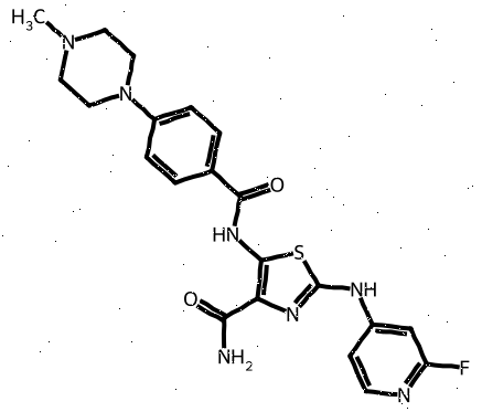 CN1CCN(c2ccc(C(=O)Nc3sc(Nc4ccnc(F)c4)nc3C(N)=O)cc2)CC1